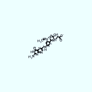 Nc1nc2ncc(CNc3ccc(C(=O)N[C@@H](CCC(=O)[O-])C(=O)O)cc3)nc2c(=O)[nH]1.[CH3][Mg+]